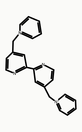 c1cc[n+](Cc2ccnc(-c3cc(C[n+]4ccccc4)ccn3)c2)cc1